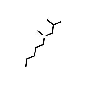 CCCCCP(Cl)CC(C)C